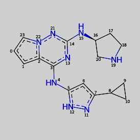 c1cc2c(Nc3cc(C4CC4)n[nH]3)nc(N[C@H]3CCNC3)nn2c1